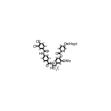 CCCCCCCOC1=CCC(C(=O)Oc2ccc(CC(NC(=O)c3ccc(NC(=O)c4ccc(Cl)c(Cl)c4)cc3)C(=O)O)cc2OC)C=C1